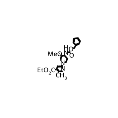 CCOC(=O)c1cc(N2CC[C@@H](NC(=O)OCc3ccccc3)[C@@H](OC)C2)ncc1C